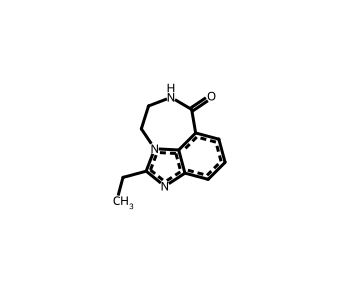 CCc1nc2cccc3c2n1CCNC3=O